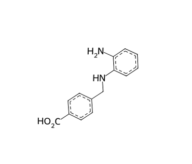 Nc1ccccc1NCc1ccc(C(=O)O)cc1